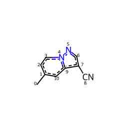 Cc1ccn2ncc(C#N)c2c1